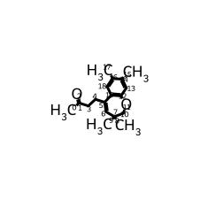 CC(=O)CCC1=CC(C)(C)COc2cc(C)c(C)cc21